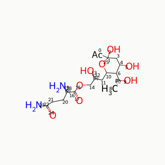 CC(=O)C1(O)CC(O)C([C@@H](C)O)C(C[C@H](O)COC(=O)[C@H](N)CCC(N)=O)O1